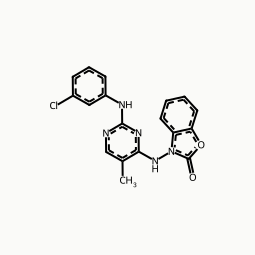 Cc1cnc(Nc2cccc(Cl)c2)nc1Nn1c(=O)oc2ccccc21